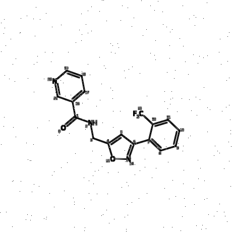 O=C(NCc1cc(-c2ccccc2C(F)(F)F)no1)c1cccnc1